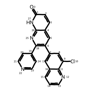 O=c1ccc2cc(-c3cc(Cl)c4ncccc4c3)c(-c3ccncc3)nc2[nH]1